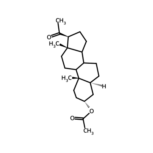 CC(=O)O[C@@H]1CC[C@]2(C)C3CC[C@@]4(C)C(CC[C@@H]4C(C)=O)C3CC[C@H]2C1